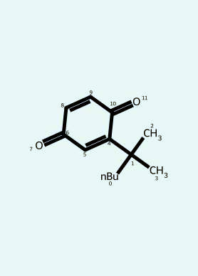 CCCCC(C)(C)C1=CC(=O)C=CC1=O